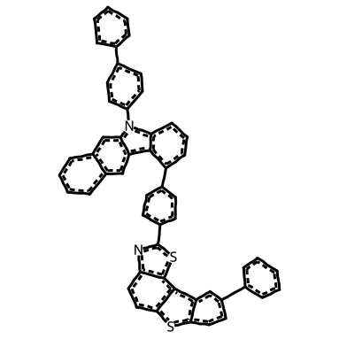 c1ccc(-c2ccc(-n3c4cc5ccccc5cc4c4c(-c5ccc(-c6nc7ccc8sc9ccc(-c%10ccccc%10)cc9c8c7s6)cc5)cccc43)cc2)cc1